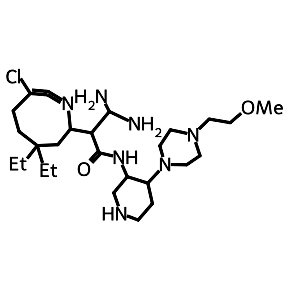 CCC1(CC)CCC(Cl)=C=NC(C(C(=O)NC2CNCCC2N2CCN(CCOC)CC2)C(N)N)C1